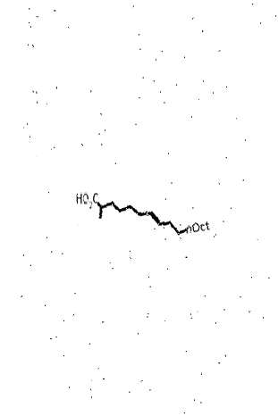 CCCCCCCCCCC=CCCCCC(C)C(=O)O